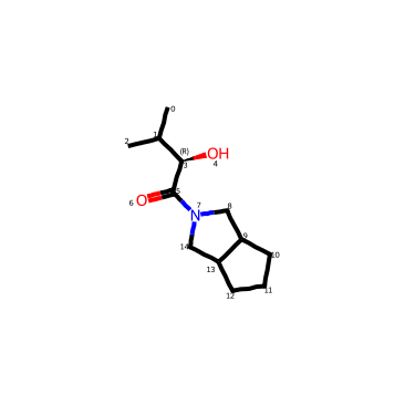 CC(C)[C@@H](O)C(=O)N1CC2CCCC2C1